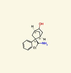 CCC(N)[C@@]1(c2ccccc2)C[C@@H]2C[C@H]1CC2O